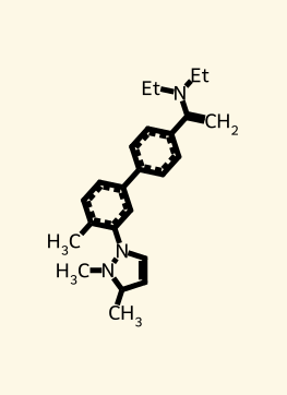 C=C(c1ccc(-c2ccc(C)c(N3C=CC(C)N3C)c2)cc1)N(CC)CC